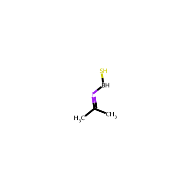 CC(C)=IBS